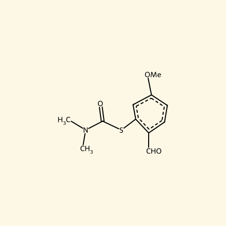 COc1ccc(C=O)c(SC(=O)N(C)C)c1